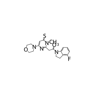 Cn1c(CC(=O)N2CCc3c(F)cccc32)nc(N2CCOCC2)cc1=S